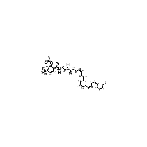 CC/C=C\C/C=C\C/C=C\C/C=C\C/C=C\C/C=C\CCC(=O)NCCNC(=O)c1ccc(C(F)(F)F)cc1OC(C)=O